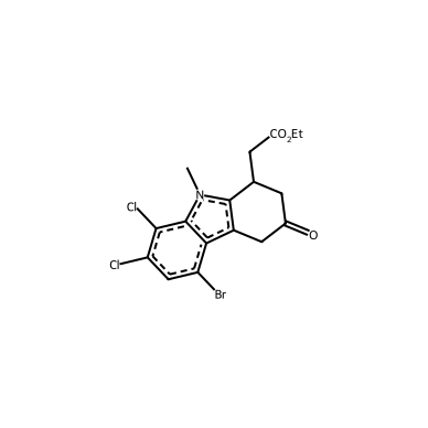 CCOC(=O)CC1CC(=O)Cc2c1n(C)c1c(Cl)c(Cl)cc(Br)c21